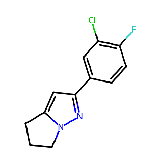 Fc1ccc(-c2cc3n(n2)CCC3)cc1Cl